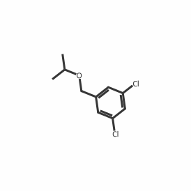 CC(C)OCc1cc(Cl)cc(Cl)c1